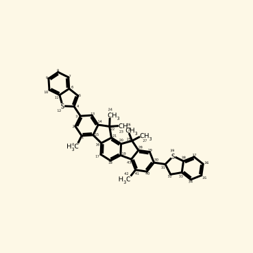 Cc1cc(-c2cc3ccccc3s2)cc2c1-c1ccc3c(c1C2(C)C)C(C)(C)c1cc(C2Cc4ccccc4S2)cc(C)c1-3